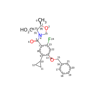 C[C@H]1OCN(C(=O)c2cc(C3CC3)c(OCc3ccccc3)cc2F)[C@@H]1C(=O)O